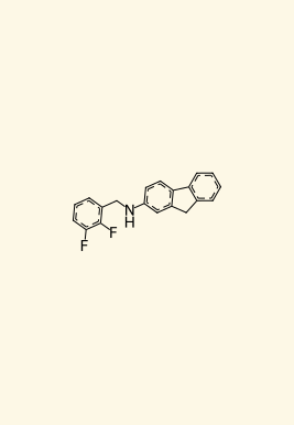 Fc1cccc(CNc2ccc3c(c2)Cc2ccccc2-3)c1F